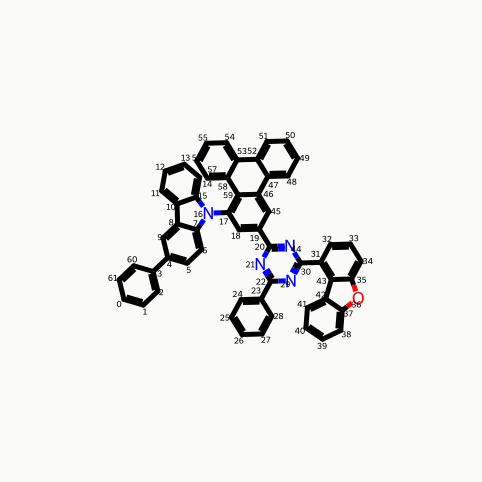 c1ccc(-c2ccc3c(c2)c2ccccc2n3-c2cc(-c3nc(-c4ccccc4)nc(-c4cccc5oc6ccccc6c45)n3)cc3c4ccccc4c4ccccc4c23)cc1